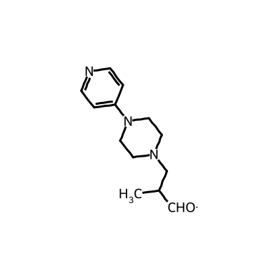 CC([C]=O)CN1CCN(c2ccncc2)CC1